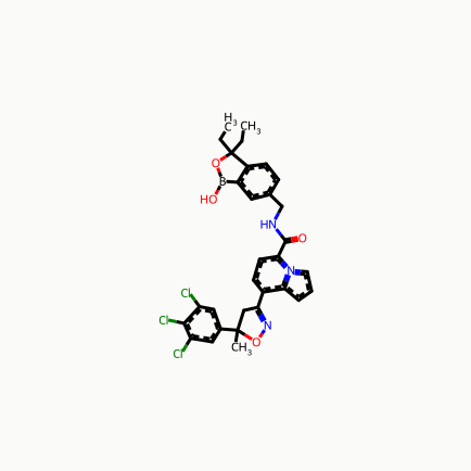 CCC1(CC)OB(O)c2cc(CNC(=O)c3ccc(C4=NOC(C)(c5cc(Cl)c(Cl)c(Cl)c5)C4)c4cccn34)ccc21